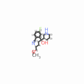 COCCCC[C@@](O)(c1cc(F)ccc1C#N)[C@@H]1CCCNC1